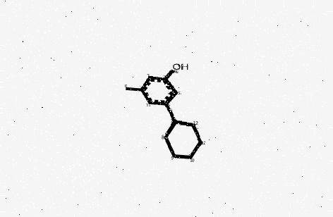 Cc1cc(O)cc(C2CCCCC2)c1